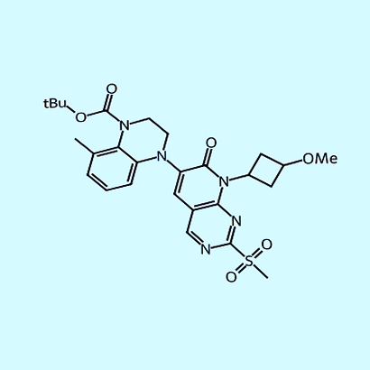 COC1CC(n2c(=O)c(N3CCN(C(=O)OC(C)(C)C)c4c(C)cccc43)cc3cnc(S(C)(=O)=O)nc32)C1